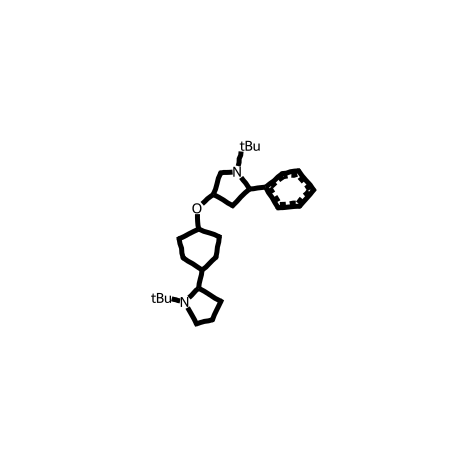 CC(C)(C)N1CC(OC2CCC(C3CCCN3C(C)(C)C)CC2)CC1c1ccccc1